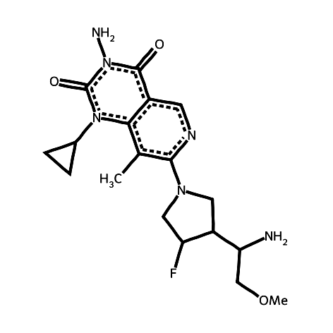 COCC(N)C1CN(c2ncc3c(=O)n(N)c(=O)n(C4CC4)c3c2C)CC1F